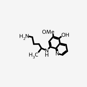 COc1cc(NC(C)CCCN)c2ncccc2c1O